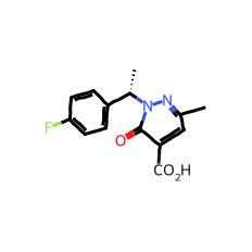 Cc1cc(C(=O)O)c(=O)n([C@@H](C)c2ccc(F)cc2)n1